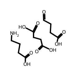 NCCCC(=O)O.O=C(O)CCC(=O)O.O=CCCC(=O)O